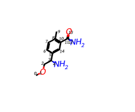 COC[C@H](N)c1ccc(C)c(C(N)=O)c1